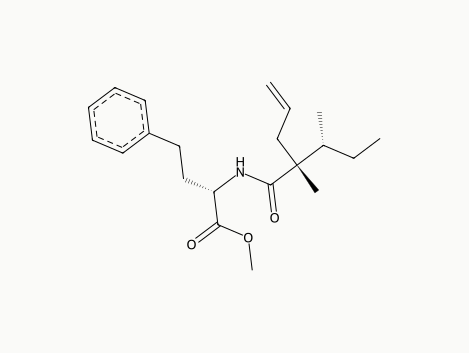 C=CC[C@@](C)(C(=O)N[C@@H](CCc1ccccc1)C(=O)OC)[C@H](C)CC